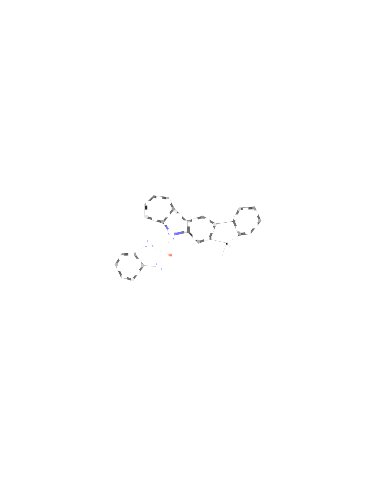 CC1(C)c2ccccc2-c2cc3c4ccccc4n(P4(=O)Nc5ccccc5N4)c3cc21